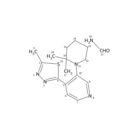 Cc1nnc(-c2ccncc2N2CCCCC2(C)C)s1.NC=O